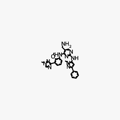 COc1c(Nc2nc(Nc3cc(-c4ccccc4)nn3C)ncc2CN)cccc1-c1ncn(C)n1